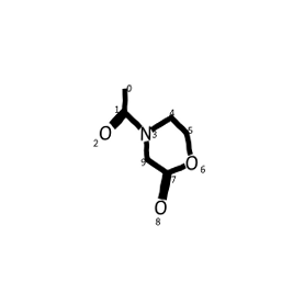 CC(=O)N1CCOC(=O)C1